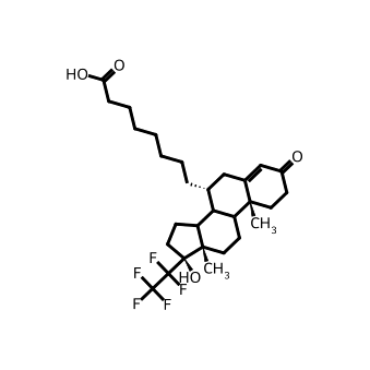 C[C@]12CCC(=O)C=C1C[C@@H](CCCCCCCC(=O)O)C1C2CC[C@@]2(C)C1CC[C@@]2(O)C(F)(F)C(F)(F)F